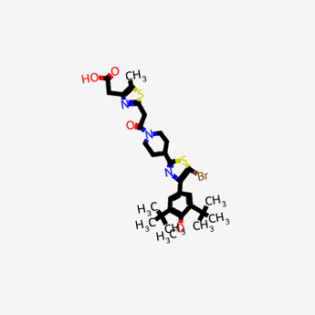 COc1c(C(C)(C)C)cc(-c2nc(C3CCN(C(=O)Cc4nc(CC(=O)O)c(C)s4)CC3)sc2Br)cc1C(C)(C)C